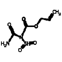 C=CCOC(=O)N(C(N)=O)[SH](=O)=O